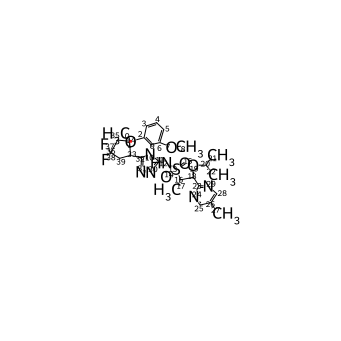 COc1cccc(OC)c1-n1c(NS(=O)(=O)[C@@H](C)[C@@H](OC(C)C)c2ncc(C)cn2)nnc1[C@@H]1CCC(F)(F)C1